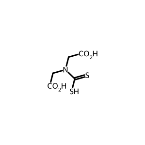 O=C(O)CN(CC(=O)O)C(=S)S